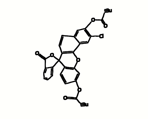 CC(C)(C)C(=O)Oc1ccc2c(c1)Oc1c(ccc3cc(OC(=O)C(C)(C)C)c(Cl)cc13)C21OC(=O)c2ccccc21